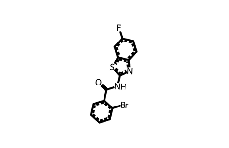 O=C(Nc1nc2ccc(F)cc2s1)c1ccccc1Br